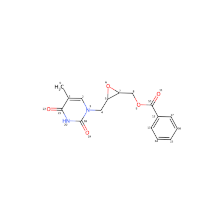 Cc1cn(CC2OC2COC(=O)c2ccccc2)c(=O)[nH]c1=O